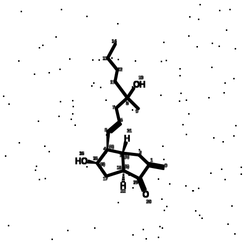 C=C1C[C@H]2[C@H](C=CCC(C)(O)CCCC)[C@H](O)C[C@@H]2C1=O